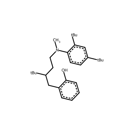 CN(CCC(Cc1ccccc1O)C(C)(C)C)c1ccc(C(C)(C)C)cc1C(C)(C)C